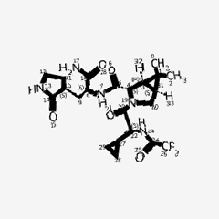 CC1(C)[C@@H]2[C@@H](C(=O)N[C@@H](C[C@@H]3CCNC3=O)C(N)=O)N(C(=O)[C@@H](NC(=O)C(F)(F)F)C3CC3)C[C@@H]21